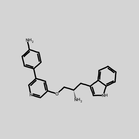 Nc1ccc(-c2cncc(OC[C@@H](N)Cc3c[nH]c4ccccc34)c2)cc1